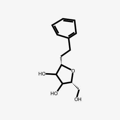 OC[C@H]1O[C@@H](CCc2ccccc2)C(O)C1O